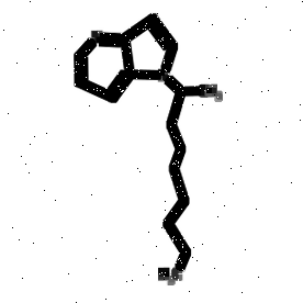 CCCCCCCC(C)n1ccc2ncccc21